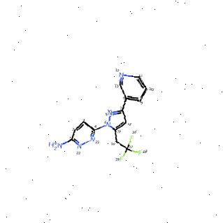 Nc1ccc(-n2nc(-c3cccnc3)cc2CC(F)(F)F)nn1